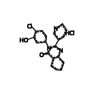 Cl.O=c1c2ccccc2nc(-c2cccnc2)n1-c1ccc(Cl)c(O)c1